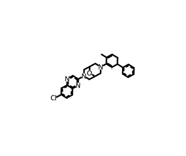 CC1=CCC(c2ccccc2)[C]=C1N1CC2CN(c3cnc4cc(Cl)ccc4n3)CC(C1)O2